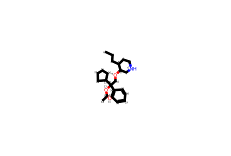 CCCC1CCNCC1OCC(OC(C)=O)(c1ccccc1)C1CCCC1